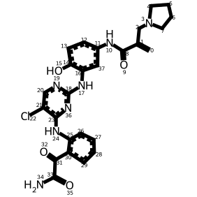 C=C(CN1CCCC1)C(=O)Nc1ccc(O)c(Nc2ncc(Cl)c(Nc3ccccc3C(=O)C(N)=O)n2)c1